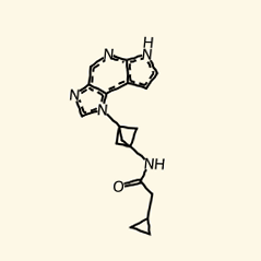 O=C(CC1CC1)NC12CC(n3cnc4cnc5[nH]ccc5c43)(C1)C2